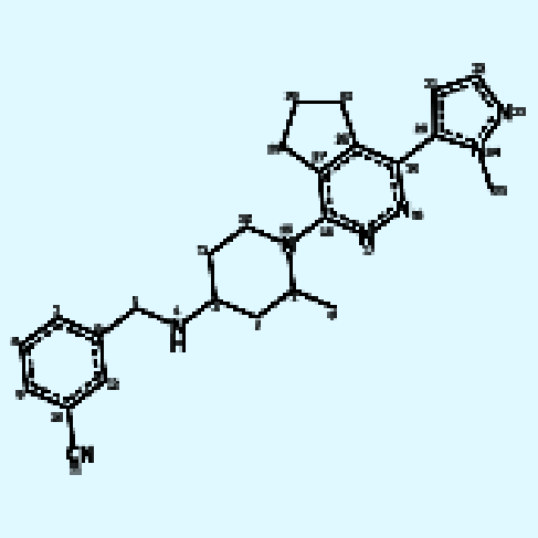 CC1CC(NCc2cccc(C#N)c2)CCN1c1nnc(-c2ccnn2C)c2c1CCC2